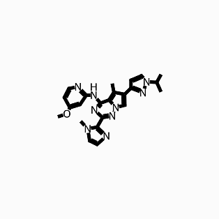 COc1ccnc(Nc2nc(-c3nccn3C)nn3cc(-c4ccn(C(C)C)n4)c(C)c23)c1